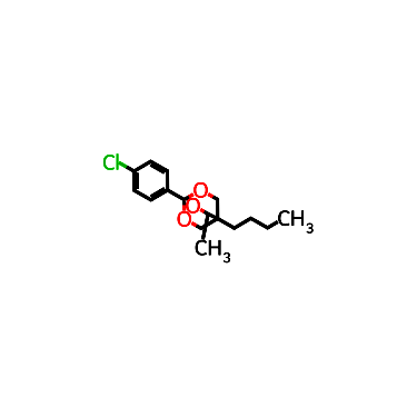 CCCCC12COC(c3ccc(Cl)cc3)(OC1)OC2C